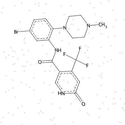 CN1CCN(c2ccc(Br)cc2NC(=O)c2c[nH]c(=O)cc2C(F)(F)F)CC1